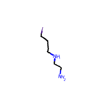 NCCNCCCI